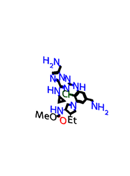 CC[C@H]1CN(c2cc(CN)cc(Nc3nc(NC4CC4)c4ncc(CN)n4n3)c2Cl)C[C@H]1NC(=O)OC